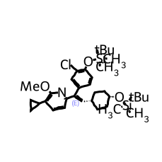 COc1nc(/C(=C/[C@H]2CC[C@@H](O[Si](C)(C)C(C)(C)C)CC2)c2ccc(O[Si](C)(C)C(C)(C)C)c(Cl)c2)ccc1C1CC1